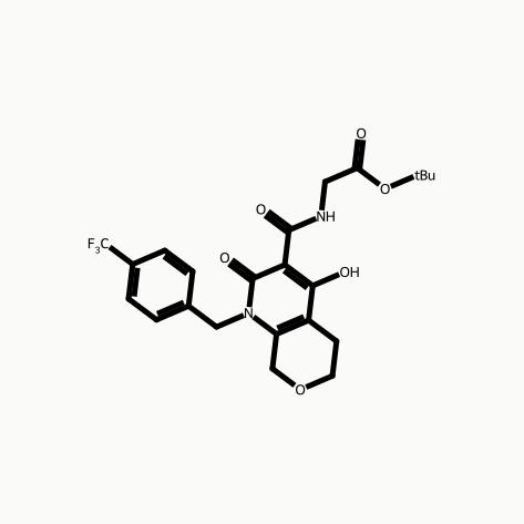 CC(C)(C)OC(=O)CNC(=O)c1c(O)c2c(n(Cc3ccc(C(F)(F)F)cc3)c1=O)COCC2